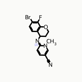 Cn1cc(C#N)cc/c1=N/C1CCOc2c1ccc(Br)c2F